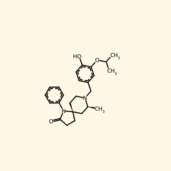 CC(C)Oc1cc(CN2CC[C@]3(CCC(=O)N3c3ccccc3)C[C@@H]2C)ccc1O